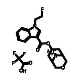 CN1C2COCC1CC(OC(=O)c1cn(CCF)c3ccccc13)C2.O=C(O)C(F)(F)F